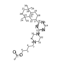 CC(=O)OCCCCN1CCN(c2ncnc(C3CCC4C(C3)C(C)(C)CCC4(C)C)n2)CC1